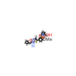 COc1ccc(-c2sc(NC(=O)CC3CCCC3)nc2C)cc1S(=O)(=O)N1CCC[C@H]1CO